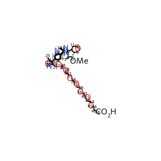 COCC(C)n1c(C2CCOCC2)nc2cnc3cc(-c4c(C)noc4C)c(OCCOCCOCCOCCOCCOCCOCCC(=O)O)cc3c21